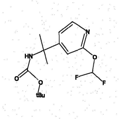 CC(C)(C)OC(=O)NC(C)(C)c1ccnc(OC(F)F)c1